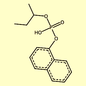 CCC(C)OP(=O)(O)Oc1cccc2ccccc12